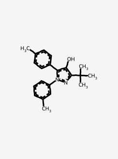 Cc1ccc(-c2c(O)c(C(C)(C)C)nn2-c2cccc(C)c2)cc1